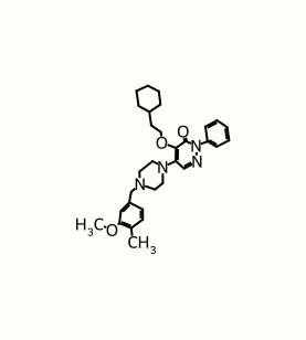 COc1cc(CN2CCN(c3cnn(-c4ccccc4)c(=O)c3OCCC3CCCCC3)CC2)ccc1C